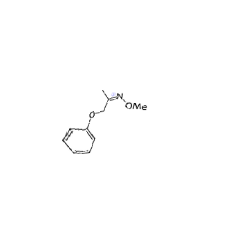 CO/N=C(/C)COc1ccccc1